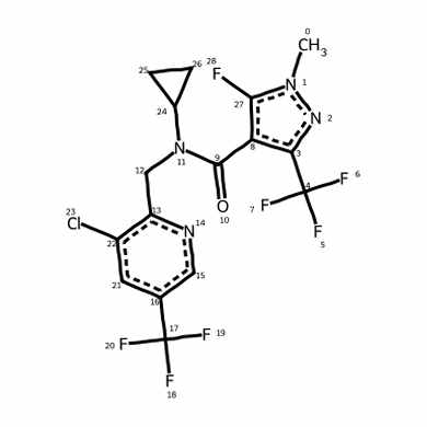 Cn1nc(C(F)(F)F)c(C(=O)N(Cc2ncc(C(F)(F)F)cc2Cl)C2CC2)c1F